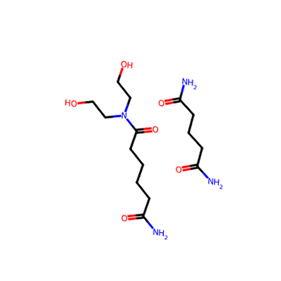 NC(=O)CCCC(N)=O.NC(=O)CCCCC(=O)N(CCO)CCO